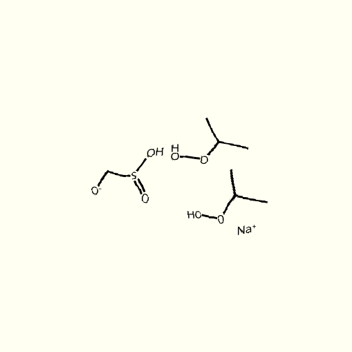 CC(C)OO.CC(C)OO.O=S(O)C[O-].[Na+]